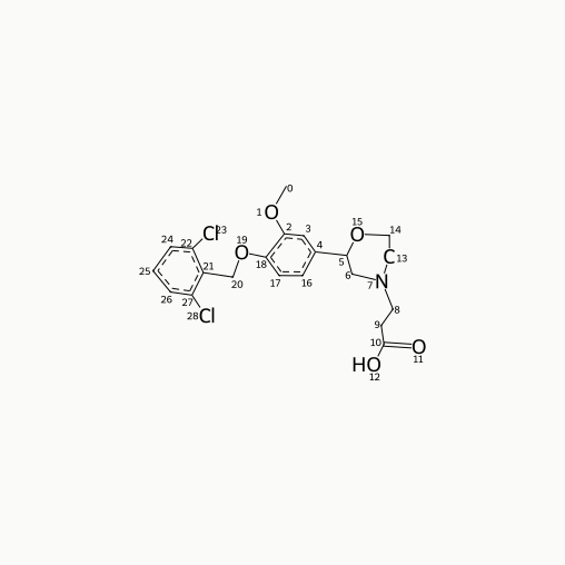 COc1cc(C2CN(CCC(=O)O)CCO2)ccc1OCc1c(Cl)cccc1Cl